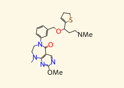 CNCCC(OCc1cccc(N2CCN(C)c3nc(OC)ncc3C2=O)c1)C1=CCCS1